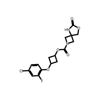 O=C1NC2(CO1)CN(C(=O)OC1CC(Oc3ccc(Cl)cc3F)C1)C2